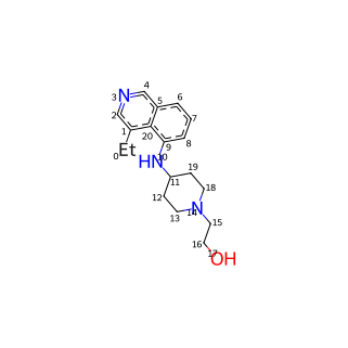 CCc1cncc2cccc(NC3CCN(CCO)CC3)c12